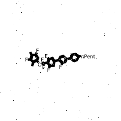 CCCCCc1ccc(-c2ccc(-c3cc(F)c(C(F)(F)Oc4cc(F)c(C)c(F)c4C)c(F)c3)c(F)c2)cc1